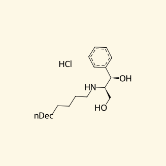 CCCCCCCCCCCCCCN[C@H](CO)[C@H](O)c1ccccc1.Cl